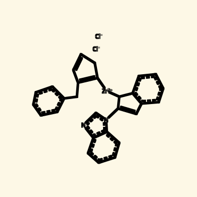 C1=CC(Cc2ccccc2)=[C]([Zr+2][CH]2C(n3cnc4ccccc43)=Cc3ccccc32)C1.[Cl-].[Cl-]